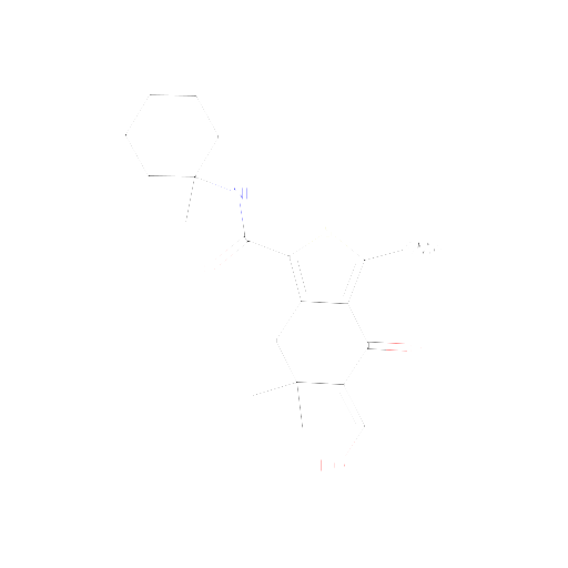 CSc1sc(C(=O)NC2(C)CCCCC2)c2c1C(=O)C(=CO)C(C)(C)C2